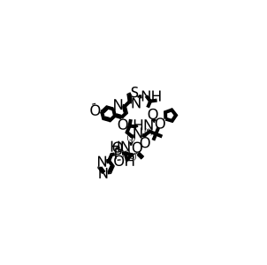 C=C[C@@H]1C[C@]1(NC(=O)[C@@H]1CC(C)(Oc2cc(-c3csc(NC(C)C)n3)nc3cc(OC)ccc23)CN1C(=O)[C@@H](NC(=O)OC1CCCC1)C(C)(C)C)P(=O)(O)Cc1ccncn1